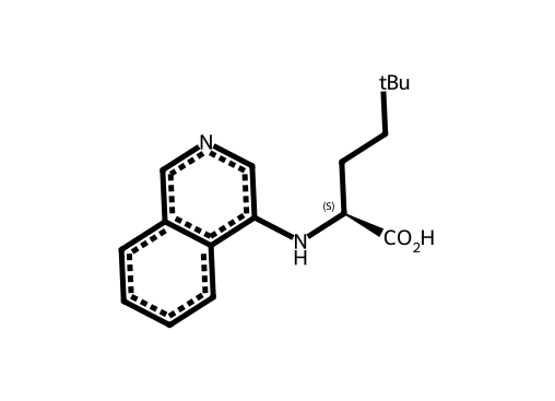 CC(C)(C)CC[C@H](Nc1cncc2ccccc12)C(=O)O